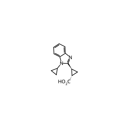 O=C(O)[C@H]1C[C@@H]1c1nc2ccccc2n1C1CC1